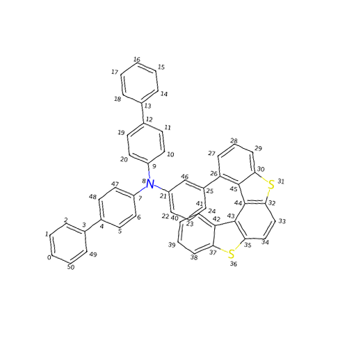 c1ccc(-c2ccc(N(c3ccc(-c4ccccc4)cc3)c3cccc(-c4cccc5sc6ccc7sc8ccccc8c7c6c45)c3)cc2)cc1